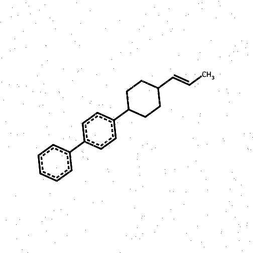 CC=CC1CCC(c2ccc(-c3ccccc3)cc2)CC1